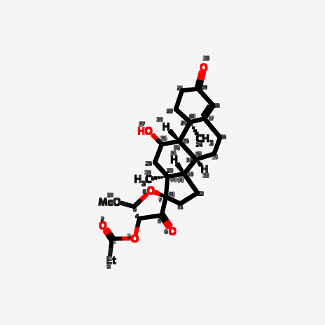 CCC(=O)OCC(=O)[C@@]1(OCOC)CC[C@H]2[C@@H]3CCC4=CC(=O)CC[C@]4(C)[C@H]3C(O)C[C@@]21C